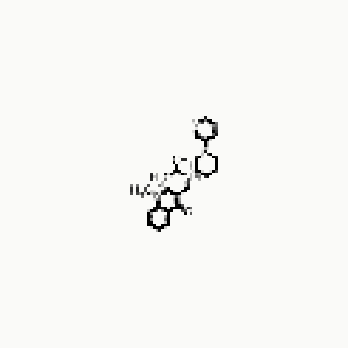 CC(C)N(Cc1cn(C)c2ccccc2c1=O)[C@H]1CCCN(c2cccnc2)C1